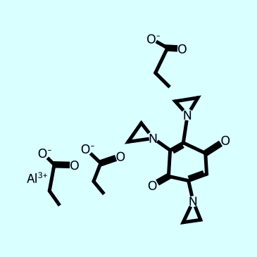 CCC(=O)[O-].CCC(=O)[O-].CCC(=O)[O-].O=C1C=C(N2CC2)C(=O)C(N2CC2)=C1N1CC1.[Al+3]